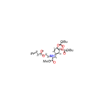 COC(=O)[C@H](Cc1ccc(OC(=O)OCC(C)C)c(OC(=O)OCC(C)C)c1)NCCOC(=O)CCC(C)C